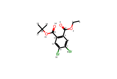 CCOC(=O)c1cc(Br)c(Br)cc1C(=O)OC(C)(C)C